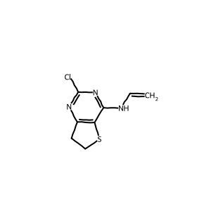 C=CNc1nc(Cl)nc2c1SCC2